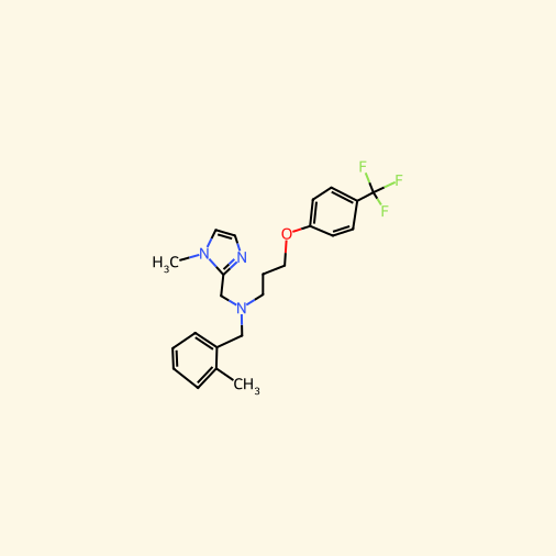 Cc1ccccc1CN(CCCOc1ccc(C(F)(F)F)cc1)Cc1nccn1C